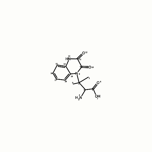 CC(C)(C(N)C(=O)O)n1c(=O)c(=O)[nH]c2ccccc21